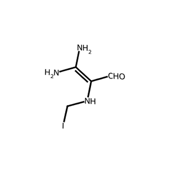 NC(N)=C(C=O)NCI